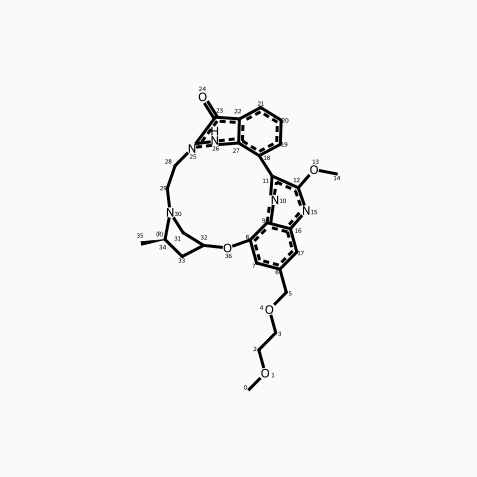 COCCOCc1cc2c3nc(c(OC)nc3c1)-c1cccc3c(=O)n([nH]c13)CCN1CC(C[C@H]1C)O2